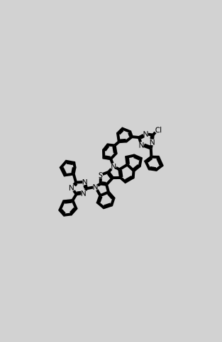 Clc1nc(-c2ccccc2)nc(-c2cccc(-c3cccc(-n4c5sc6c(c7ccccc7n6-c6nc(-c7ccccc7)nc(-c7ccccc7)n6)c5c5ccc6ccccc6c54)c3)c2)n1